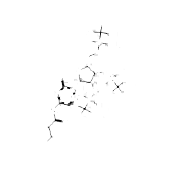 CCCC(=O)Nc1cnn([C@@H]2O[C@H](CO[Si](C)(C)C(C)(C)C)[C@@H](O[Si](C)(C)C(C)(C)C)[C@H]2O[Si](C)(C)C(C)(C)C)c(=O)n1